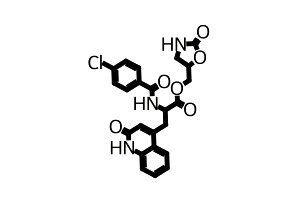 O=C1NCC(COC(=O)C(Cc2cc(=O)[nH]c3ccccc23)NC(=O)c2ccc(Cl)cc2)O1